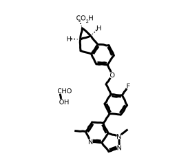 Cc1cc(-c2ccc(F)c(COc3ccc4c(c3)C[C@H]3[C@H](C(=O)O)[C@@H]43)c2)c2c(cnn2C)n1.O=CO